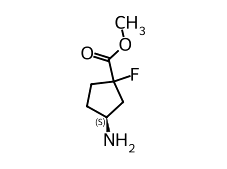 COC(=O)C1(F)CC[C@H](N)C1